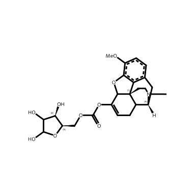 COc1ccc2c3c1OC1C(OC(=O)OC[C@H]4OC(O)C(O)[C@H]4O)=CCC4[C@@H](C2)N(C)CC[C@]314